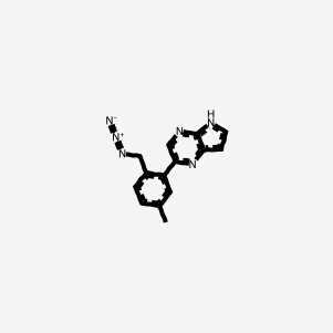 Cc1ccc(CN=[N+]=[N-])c(-c2cnc3[nH]ccc3n2)c1